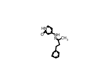 CC(CCc1ccccc1)=NNc1cc[nH]c(=O)c1